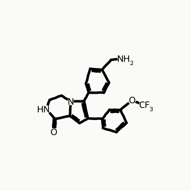 NCc1ccc(-c2c(-c3cccc(OC(F)(F)F)c3)cc3n2CCNC3=O)cc1